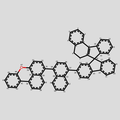 c1ccc2c(c1)CCC1=C2c2ccccc2C12c1ccccc1-c1ccc(-c3ccc(-c4ccc5c6c(cccc46)-c4ccccc4O5)c4ccccc34)cc12